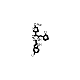 COc1ccc(C(=O)C(Cc2ccccc2Cl)NC(=O)c2cc3cc(Cl)ccc3[nH]2)cn1